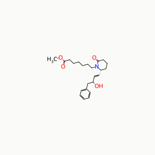 COC(=O)CCCCCCN1C(=O)CCC[C@@H]1C=CC(O)Cc1ccccc1